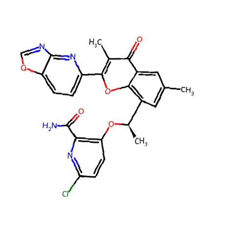 Cc1cc([C@@H](C)Oc2ccc(Cl)nc2C(N)=O)c2oc(-c3ccc4ocnc4n3)c(C)c(=O)c2c1